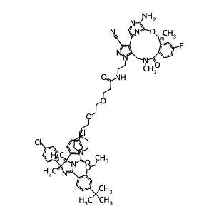 CCOc1cc(C(C)(C)C)ccc1C1=N[C@](C)(c2ccc(Cl)cc2)[C@](C)(c2ccc(Cl)cc2)N1C(=O)N1CCN(CCOCCOCCC(=O)NCCn2nc(C#N)c3c2CN(C)C(=O)c2ccc(F)cc2[C@@H](C)Oc2nc-3cnc2N)CC1